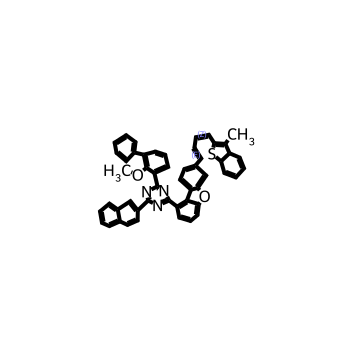 COc1c(-c2ccccc2)cccc1-c1nc(-c2ccc3ccccc3c2)nc(-c2cccc3oc4cc(/C=C/C=C\C5=C(C)C6C=CC=CC6S5)ccc4c23)n1